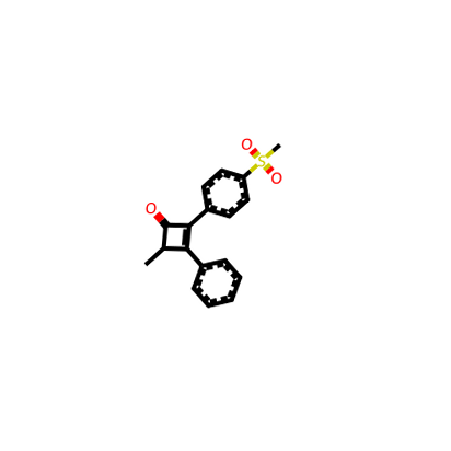 CC1C(=O)C(c2ccc(S(C)(=O)=O)cc2)=C1c1ccccc1